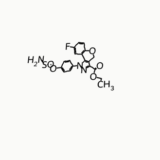 CCOC(=O)c1nn(-c2ccc(OOSN)cc2)c2c1COc1ccc(F)cc1-2